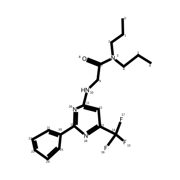 CCCN(CCC)C(=O)CNc1cc(C(F)(F)F)nc(-c2ccccc2)n1